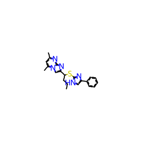 CCCC(Sc1nc(-c2ccccc2)c[nH]1)c1cn2c(C)cc(C)nc2n1